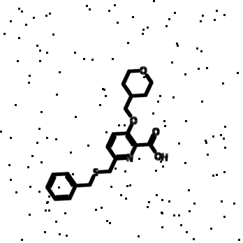 O=C(O)c1nc(CSCc2ccccc2)ccc1OCC1CCOCC1